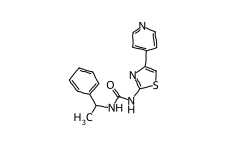 CC(NC(=O)Nc1nc(-c2ccncc2)cs1)c1ccccc1